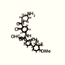 COc1ccc(-c2cnc(C(=O)Nc3ccc(C(=O)N4CCC(N)CC4)c(Cl)c3)n2C)c(F)c1F.O=CO